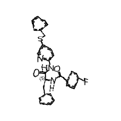 O=C(N[C@@H](Cc1ccccc1)C(=O)Nc1ccc(SCc2ccccc2)cn1)c1ccc(F)cc1